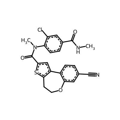 CNC(=O)c1ccc(N(C)C(=O)c2cc3c(s2)CCOc2cc(C#N)ccc2-3)c(Cl)c1